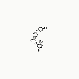 O=C(COc1cc(F)ccc1Br)N1CCN(Cc2ccc(Cl)cc2)CC1